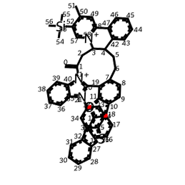 C=C1CC2C(CCc3ccc4c(oc5ccccc54)c3-c3n(-c4ccc5sc6ccccc6c5c4)c4ccccc4[n+]31)c1ccccc1-c1cc(C)c([Si](C)(C)C)c[n+]12